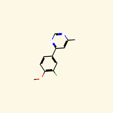 CCCOc1ccc(-c2cc(C(=O)O)ncn2)cc1Cl